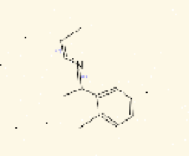 C/C=C\N=C(/C)c1ccccc1C